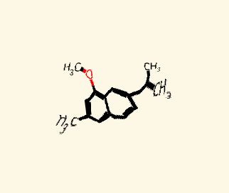 COc1cc(C)cc2ccc(C(C)C)cc12